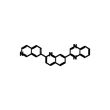 c1ccc2nc(-c3ccc4ccc(-c5ccc6ccncc6c5)nc4c3)cnc2c1